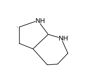 [CH]1CC2CCCNC2N1